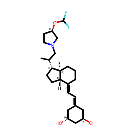 CC(CN1CC[C@@H](OC(F)F)C1)[C@H]1CC[C@H]2/C(=C/C=C3C[C@@H](O)C[C@H](O)C3)CCC[C@]12C